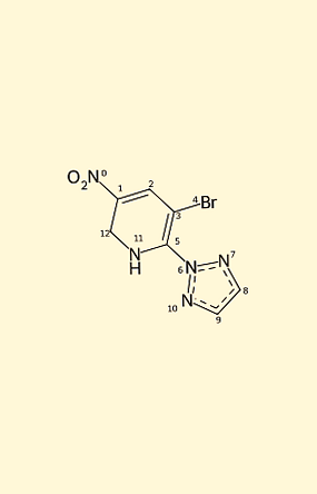 O=[N+]([O-])C1=CC(Br)=C(n2nccn2)NC1